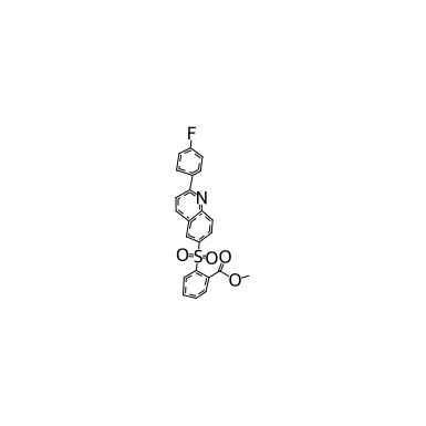 COC(=O)c1ccccc1S(=O)(=O)c1ccc2nc(-c3ccc(F)cc3)ccc2c1